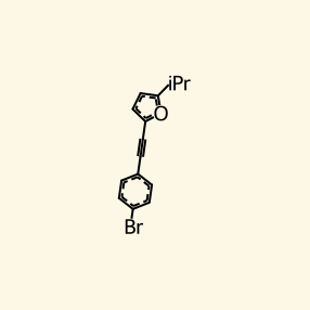 CC(C)c1ccc(C#Cc2ccc(Br)cc2)o1